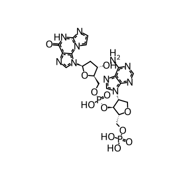 Nc1ncnc2c1ncn2[C@@H]1CO[C@H](COP(=O)(O)O)[C@H]1OP(=O)(O)OC[C@H]1O[C@@H](n2cnc3c(=O)[nH]c4nccn4c32)C[C@@H]1O